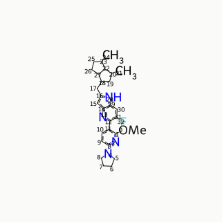 COc1nc(N2CCCC2)ccc1-c1nc2cc(CC3CC(C)C4C(C)CCC34)[nH]c2cc1F